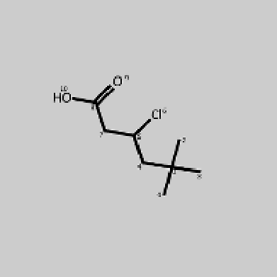 CC(C)(C)CC(Cl)CC(=O)O